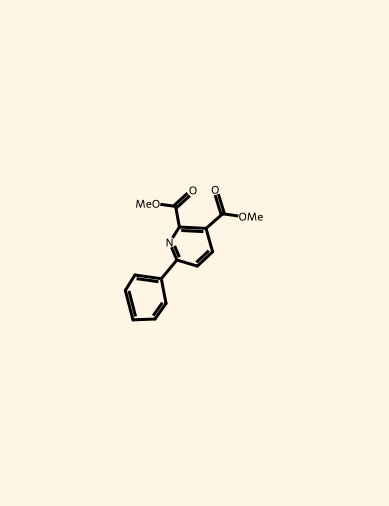 COC(=O)c1ccc(-c2ccccc2)nc1C(=O)OC